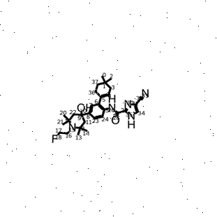 CC1(C)CC=C(c2cc(C3(O)CC(C)(C)N(CCF)C(C)(C)C3)ccc2NC(=O)c2nc(C#N)c[nH]2)CC1